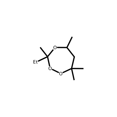 CCC1(C)OOC(C)(C)CC(C)O1